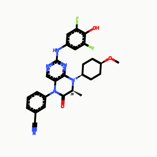 CO[C@H]1CC[C@H](N2c3nc(Nc4cc(F)c(O)c(F)c4)ncc3N(c3cccc(C#N)c3)C(=O)[C@H]2C)CC1